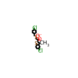 Cc1c(C(=O)C[S+]([O-])Cc2ccc(Cl)cc2)sc2ccc(Cl)cc12